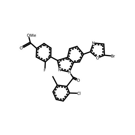 COC(=O)c1ccc(-c2nn(C(=O)c3c(C)cccc3Cl)c3cc(-c4ncc(Br)o4)ccc23)c(F)c1